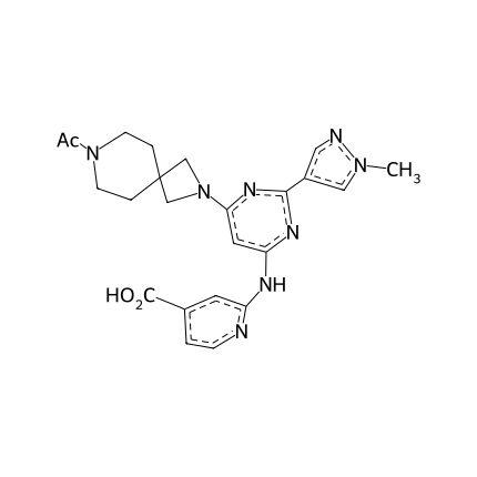 CC(=O)N1CCC2(CC1)CN(c1cc(Nc3cc(C(=O)O)ccn3)nc(-c3cnn(C)c3)n1)C2